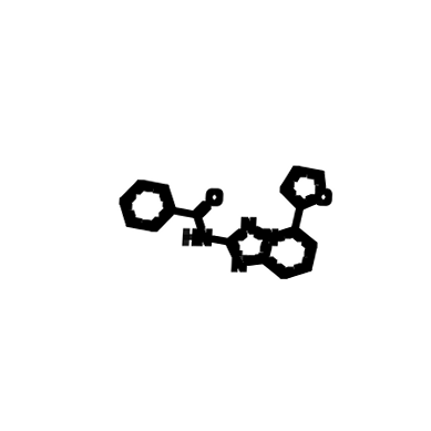 O=C(Nc1nc2cccc(-c3ccco3)n2n1)c1ccccc1